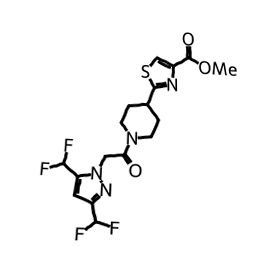 COC(=O)c1csc(C2CCN(C(=O)Cn3nc(C(F)F)cc3C(F)F)CC2)n1